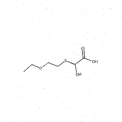 CCOCCSC(O)C(=O)O